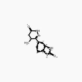 CC1CC(=O)NN=C1c1ccc2sc(=O)[nH]c2c1